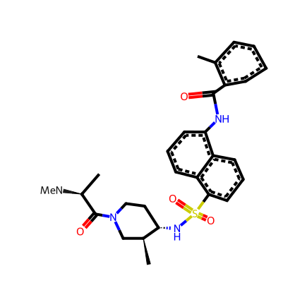 CN[C@@H](C)C(=O)N1CC[C@H](NS(=O)(=O)c2cccc3c(NC(=O)c4ccccc4C)cccc23)[C@@H](C)C1